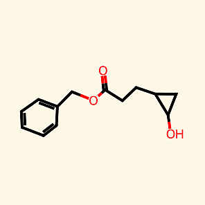 O=C(CCC1CC1O)OCc1ccccc1